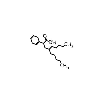 CCCCCC(CCCCC)CC(C(=O)O)C1=CCCCC1